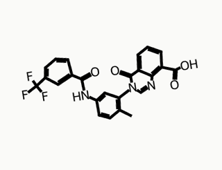 Cc1ccc(NC(=O)c2cccc(C(F)(F)F)c2)cc1-n1cnc2c(C(=O)O)cccc2c1=O